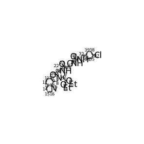 CCOC(OCC)[C@H](C)N(Cc1cccc2cccnc12)C(=O)[C@H](C)NC(=O)CONC(=O)NCc1ccc(Cl)cc1